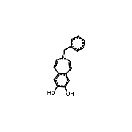 Oc1cc2c(cc1O)C=CN(Cc1ccccc1)C=C2